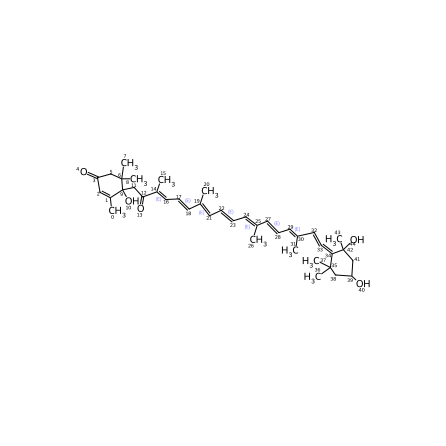 CC1=CC(=O)CC(C)(C)C1(O)CC(=O)/C(C)=C/C=C/C(C)=C/C=C/C=C(C)/C=C/C=C(\C)C=C=C1C(C)(C)CC(O)CC1(C)O